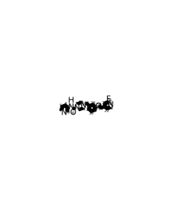 O=C(Nc1cccnc1)N1CCN(Cc2cccc(OCc3ccnc(F)c3)c2)CC1